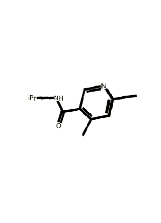 Cc1cc(C)c(C(=O)NC(C)C)cn1